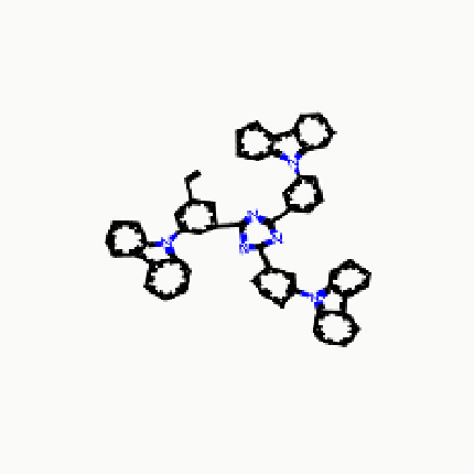 C=Cc1cc(-c2nc(-c3cccc(-n4c5ccccc5c5ccccc54)c3)nc(-c3cccc(-n4c5ccccc5c5ccccc54)c3)n2)cc(-n2c3ccccc3c3ccccc32)c1